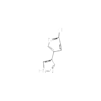 Clc1ccc(-c2cn[nH]c2)cn1